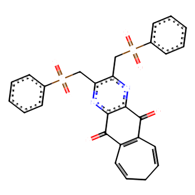 O=C1C2=C(C=CCC=C2)C(=O)c2nc(CS(=O)(=O)c3ccccc3)c(CS(=O)(=O)c3ccccc3)nc21